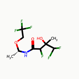 C[C@@H](NC(=O)C(F)C(C)(O)C(F)F)OCC(F)(F)F